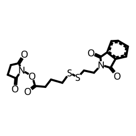 O=C(CCCSSCCN1C(=O)c2ccccc2C1=O)ON1C(=O)CCC1=O